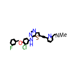 CNCc1cccc(C#Cc2cc3ncnc(Nc4ccc(OCc5cccc(F)c5)c(Cl)c4)c3s2)n1